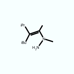 CCC(C)/C(=C(/C)N(C)N)C(C)C